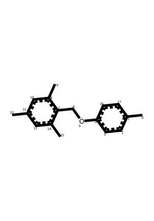 Cc1ccc(OCc2c(C)cc(C)cc2C)cc1